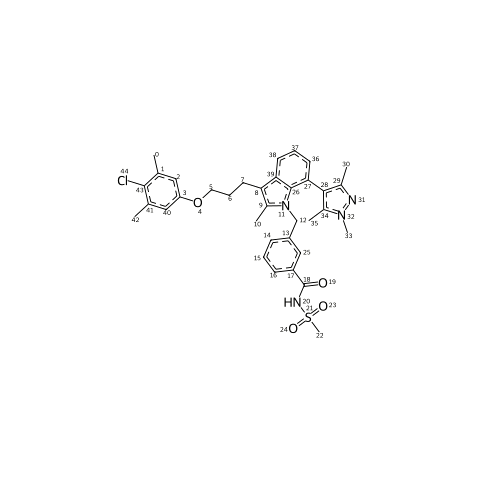 Cc1cc(OCCCc2c(C)n(Cc3cccc(C(=O)NS(C)(=O)=O)c3)c3c(-c4c(C)nn(C)c4C)cccc23)cc(C)c1Cl